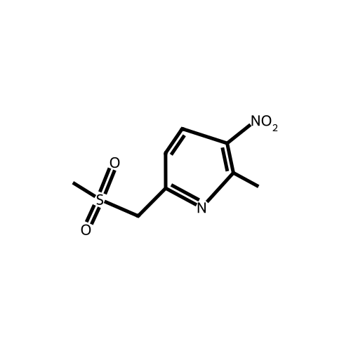 Cc1nc(CS(C)(=O)=O)ccc1[N+](=O)[O-]